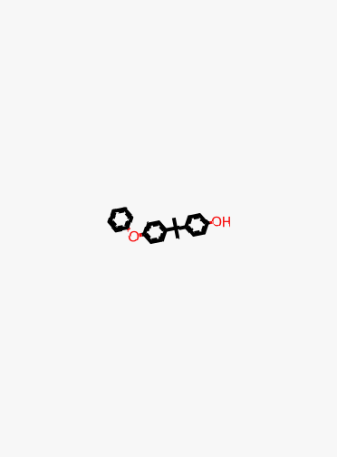 CC(C)(c1ccc(O)cc1)c1ccc(Oc2ccccc2)cc1